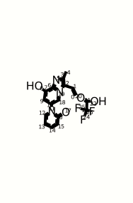 C=Cc1c(C)nc2c(O)cc(-n3ccccc3=O)cn12.O=C(O)C(F)(F)F